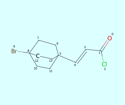 O=C(Cl)C=CC12CCC(Br)(CC1)CC2